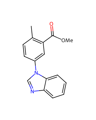 COC(=O)c1cc(-n2cnc3ccccc32)ccc1C